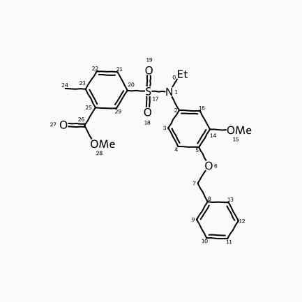 CCN(c1ccc(OCc2ccccc2)c(OC)c1)S(=O)(=O)c1ccc(C)c(C(=O)OC)c1